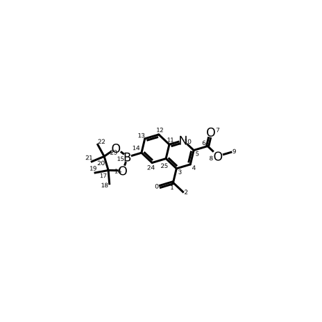 C=C(C)c1cc(C(=O)OC)nc2ccc(B3OC(C)(C)C(C)(C)O3)cc12